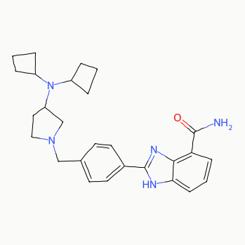 NC(=O)c1cccc2[nH]c(-c3ccc(CN4CCC(N(C5CCC5)C5CCC5)C4)cc3)nc12